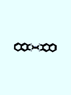 C1=CCC2C=C3S/C(=C4/Sc5cc6c(cc5S4)CCC=C6)SC3=CC2=C1